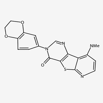 CNc1ccnc2sc3c(=O)n(-c4ccc5c(c4)OCCO5)cnc3c12